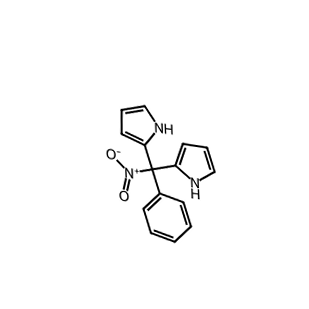 O=[N+]([O-])C(c1ccccc1)(c1ccc[nH]1)c1ccc[nH]1